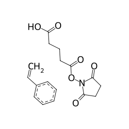 C=Cc1ccccc1.O=C(O)CCCC(=O)ON1C(=O)CCC1=O